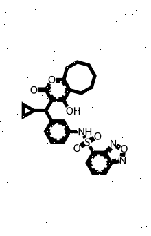 O=c1oc2c(c(O)c1C(c1cccc(NS(=O)(=O)c3cccc4nonc34)c1)C1CC1)CCCCCC2